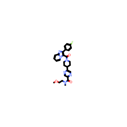 COCCN(C)C(=O)c1cnc(C2CCN(C(=O)c3c(-c4ccc(F)cc4)nc4ccccn34)CC2)cn1